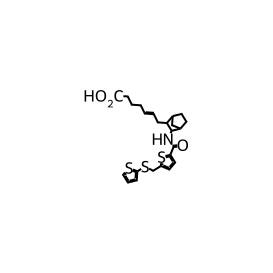 O=C(O)CCCC=CCC1C2CCC(C2)C1NC(=O)c1ccc(CSc2cccs2)s1